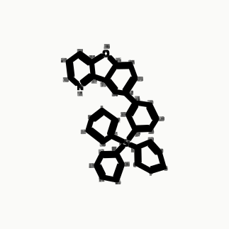 c1ccc([Si](c2ccccc2)(c2ccccc2)c2cccc(-c3ccc4oc5cccnc5c4c3)c2)cc1